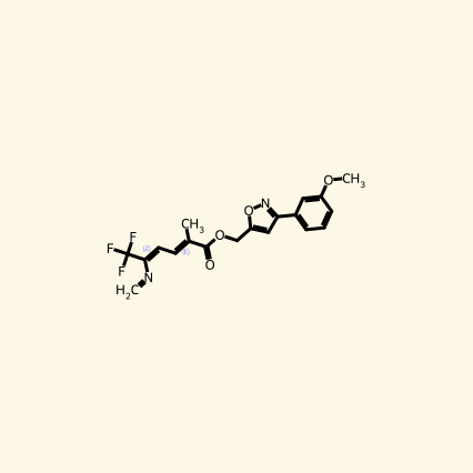 C=N/C(=C\C=C(/C)C(=O)OCc1cc(-c2cccc(OC)c2)no1)C(F)(F)F